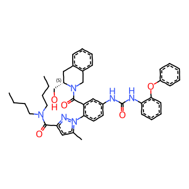 CCCCN(CCCC)C(=O)c1cc(C)n(-c2ccc(NC(=O)Nc3ccccc3Oc3ccccc3)cc2C(=O)N2Cc3ccccc3C[C@H]2CO)n1